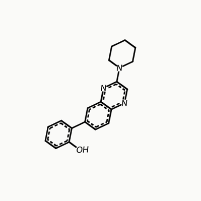 Oc1ccccc1-c1ccc2ncc(N3CCCCC3)nc2c1